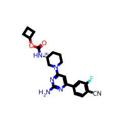 N#Cc1ccc(-c2cc(N3CCC[C@@H](NC(=O)OC4CCC4)C3)nc(N)n2)cc1F